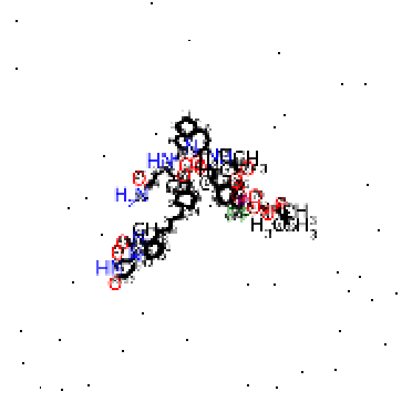 C/C(=C\C(=O)N[C@H]1CCc2cccc3c2N(C1=O)[C@H](C(=O)N[C@@H](CCC(N)=O)[C@@H](C)OCc1ccc(CCCCc2cccc4c2n(C)c(=O)n4C2CCC(=O)NC2=O)cc1)C3)c1ccc(C(F)(F)P(=O)(OCOC(=O)C(C)(C)C)OCOC(=O)C(C)(C)C)cc1